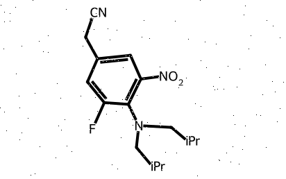 CC(C)CN(CC(C)C)c1c(F)cc(CC#N)cc1[N+](=O)[O-]